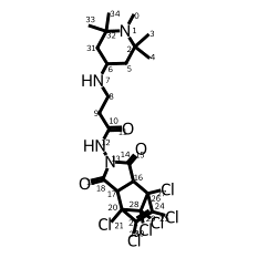 CN1C(C)(C)CC(NCCC(=O)NN2C(=O)C3C(C2=O)C2(Cl)C(Cl)=C(Cl)C3(Cl)C2(Cl)Cl)CC1(C)C